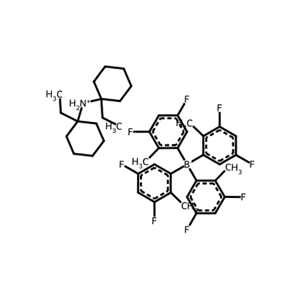 CCC1([NH2+]C2(CC)CCCCC2)CCCCC1.Cc1c(F)cc(F)cc1[B-](c1cc(F)cc(F)c1C)(c1cc(F)cc(F)c1C)c1cc(F)cc(F)c1C